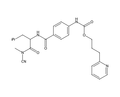 CC(C)CC(NC(=O)c1ccc(NC(=O)OCCCc2ccccn2)cc1)C(=O)N(C)C#N